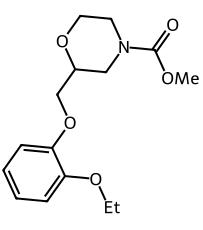 CCOc1ccccc1OCC1CN(C(=O)OC)CCO1